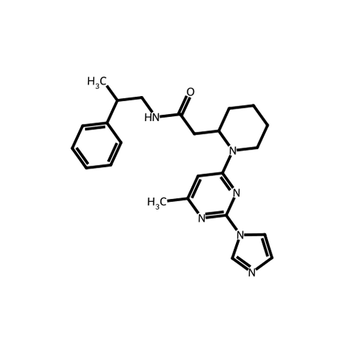 Cc1cc(N2CCCCC2CC(=O)NCC(C)c2ccccc2)nc(-n2ccnc2)n1